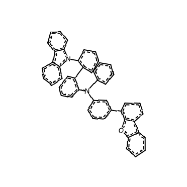 c1ccc(N(c2cccc(-c3cccc4c3oc3ccccc34)c2)c2ccccc2-c2ccccc2-n2c3ccccc3c3ccccc32)cc1